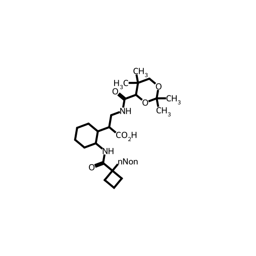 CCCCCCCCCC1(C(=O)NC2CCCCC2C(CNC(=O)C2OC(C)(C)OCC2(C)C)C(=O)O)CCC1